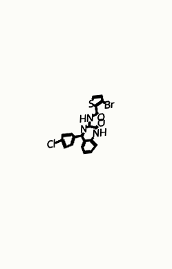 O=C(NC1N=C(c2ccc(Cl)cc2)c2ccccc2NC1=O)c1sccc1Br